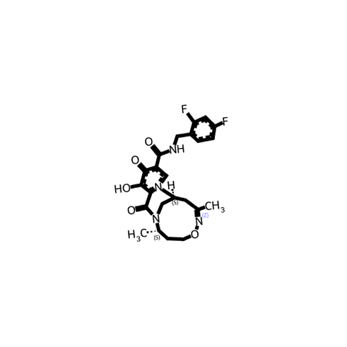 C/C1=N/OCC[C@H](C)N2C[C@H](C1)n1cc(C(=O)NCc3ccc(F)cc3F)c(=O)c(O)c1C2=O